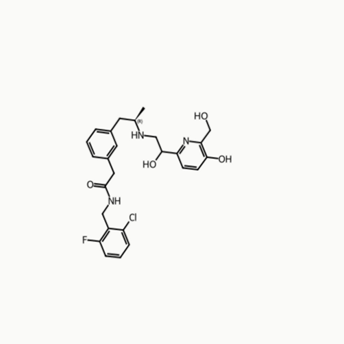 C[C@H](Cc1cccc(CC(=O)NCc2c(F)cccc2Cl)c1)NCC(O)c1ccc(O)c(CO)n1